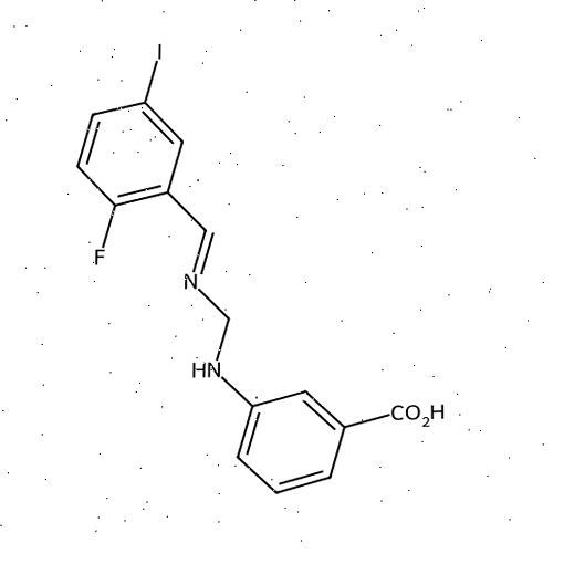 O=C(O)c1cccc(NC/N=C/c2cc(I)ccc2F)c1